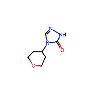 O=c1[nH]ncn1C1CCOCC1